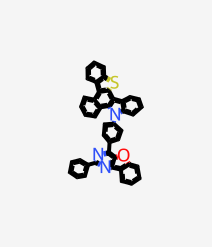 c1ccc(-c2nc(-c3ccc(-n4c5ccccc5c5c6sc7ccccc7c6c6ccccc6c54)cc3)c3oc4ccccc4c3n2)cc1